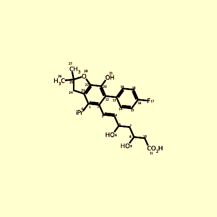 CC(C)c1c(/C=C/C(O)CC(O)CC(=O)O)c(-c2ccc(F)cc2)c(O)c2c1CC(C)(C)O2